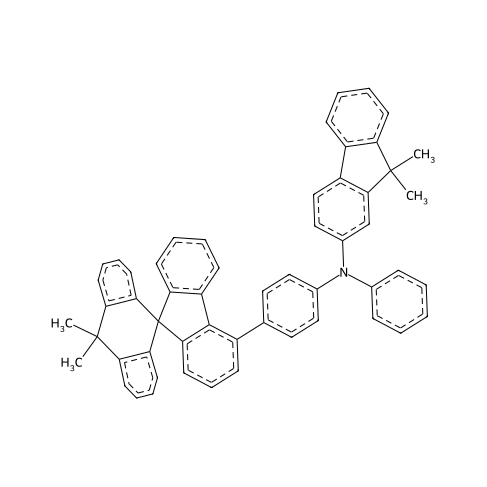 CC1(C)c2ccccc2-c2ccc(N(c3ccccc3)c3ccc(-c4cccc5c4-c4ccccc4C54c5ccccc5C(C)(C)c5ccccc54)cc3)cc21